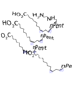 CCCCC/C=C\C/C=C\CCCCCCCC(=O)O.CCCCC/C=C\C/C=C\CCCCCCCC(=O)O.CCCCC/C=C\C/C=C\CCCCCCCC(=O)O.CCCCC/C=C\C/C=C\CCCCCCCC(=O)O.NCCN